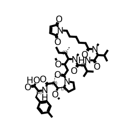 CC[C@H](C)C(C(CC(=O)N1CCC[C@H]1C(OC)[C@@H](C)C(=O)N[C@@H](Cc1ccc(C)cc1)C(=O)O)OC)N(C)C(=O)[C@@H](NC(=O)C(C(C)C)N(C)C(=O)CCCCCN1C(=O)C=CC1=O)C(C)C